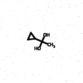 CC(O)(O)C1CC1